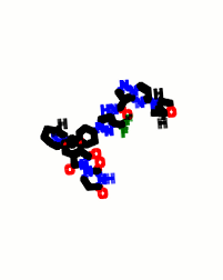 O=C1CCN(N2C(=O)c3ccc(N4C5CC[C@@H]4CN(CC4CCC(n6cc(NC(=O)c7cnn8ccc(N9C[C@H]%10C[C@@H]9CO%10)nc78)c(C(F)F)n6)CC4)C5)cc3C2=O)C(=O)N1